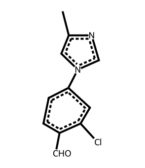 Cc1cn(-c2ccc(C=O)c(Cl)c2)cn1